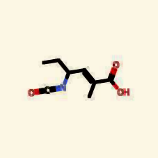 CCC(/C=C(\C)C(=O)O)N=C=O